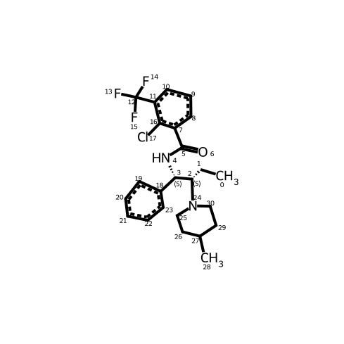 CC[C@@H]([C@@H](NC(=O)c1cccc(C(F)(F)F)c1Cl)c1ccccc1)N1CCC(C)CC1